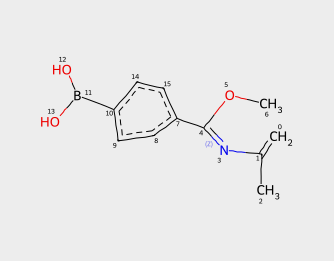 C=C(C)/N=C(\OC)c1ccc(B(O)O)cc1